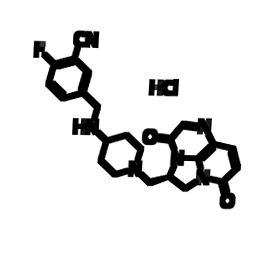 Cl.N#Cc1cc(CNC2CCN(C[C@@H]3Cn4c(=O)ccc5ncc(=O)n3c54)CC2)ccc1F